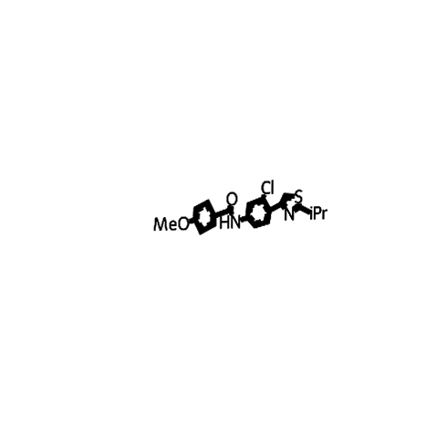 COc1ccc(C(=O)Nc2ccc(-c3csc(C(C)C)n3)c(Cl)c2)cc1